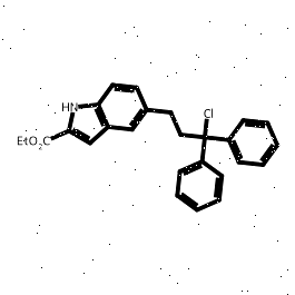 CCOC(=O)c1cc2cc(CCC(Cl)(c3ccccc3)c3ccccc3)ccc2[nH]1